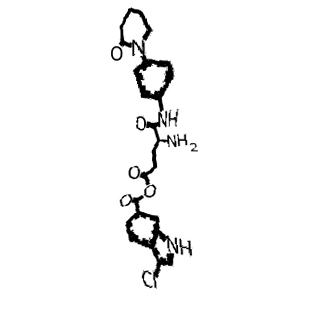 N[C@@H](CCC(=O)OC(=O)c1ccc2c(Cl)c[nH]c2c1)C(=O)Nc1ccc(N2CCCCC2=O)cc1